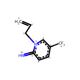 C=CCn1cc(C(F)(F)F)ccc1=N